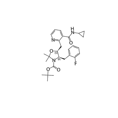 CC(C)(C)OC(=O)N1[C@H](Cc2ccccc2F)[C@H](Cc2ncccc2C(=O)NC2CC2)OC1(C)C